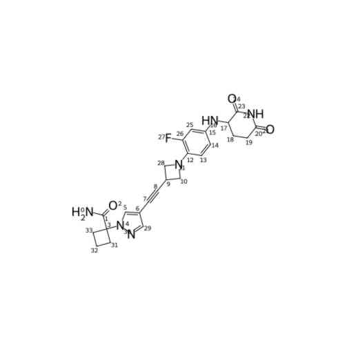 NC(=O)C1(n2cc(C#CC3CN(c4ccc(NC5CCC(=O)NC5=O)cc4F)C3)cn2)CCC1